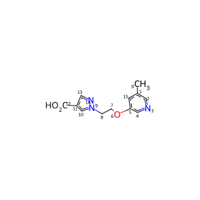 Cc1cncc(OCCn2cc(C(=O)O)cn2)c1